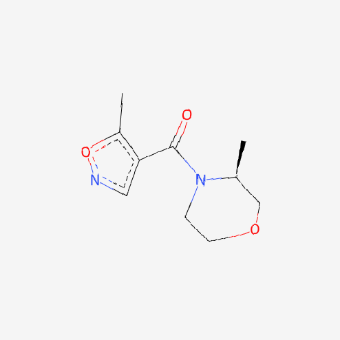 Cc1oncc1C(=O)N1CCOC[C@@H]1C